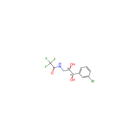 O=C(NC[C@@H](O)[C@H](O)c1cccc(Br)c1)C(F)(F)F